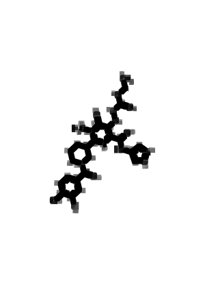 CCOC(=O)OOc1c(C(=O)Nc2cnoc2)nc(C2CCCN(C(=O)c3ccc(Cl)c(Cl)c3)C2)n(C)c1=O